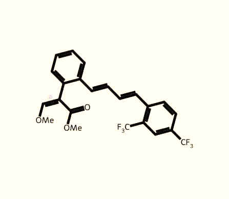 CO/C=C(\C(=O)OC)c1ccccc1C=CC=Cc1ccc(C(F)(F)F)cc1C(F)(F)F